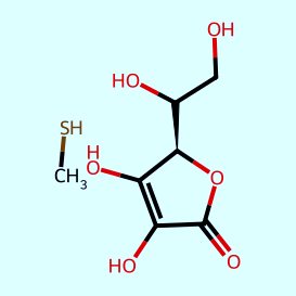 CS.O=C1O[C@H](C(O)CO)C(O)=C1O